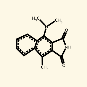 Cc1c2c(c(N(C)C)c3ccccc13)C(=O)NC2=O